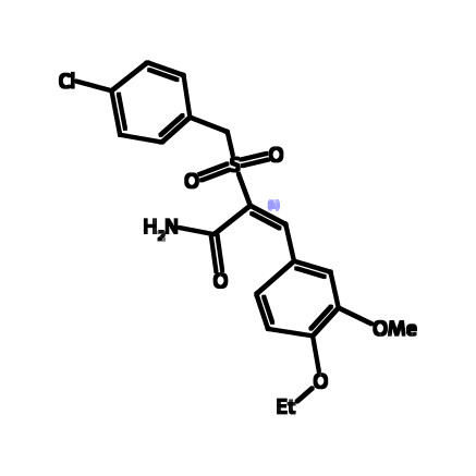 CCOc1ccc(/C=C(\C(N)=O)S(=O)(=O)Cc2ccc(Cl)cc2)cc1OC